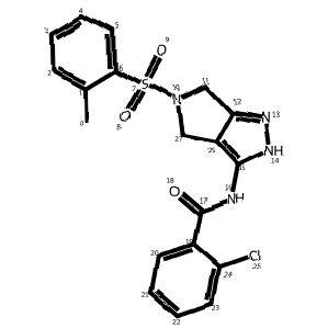 Cc1ccccc1S(=O)(=O)N1Cc2n[nH]c(NC(=O)c3ccccc3Cl)c2C1